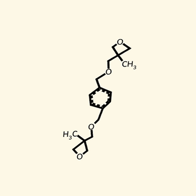 CC1(COCc2ccc(COCC3(C)COC3)cc2)COC1